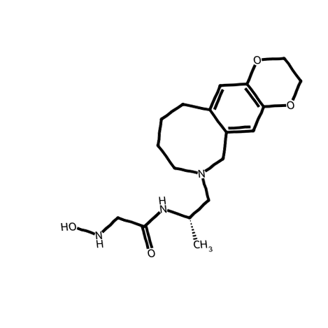 C[C@@H](CN1CCCCc2cc3c(cc2C1)OCCO3)NC(=O)CNO